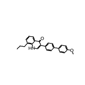 CCCc1cccc2c(=O)c(-c3ccc(-c4ccc(OC)cc4)cc3)c[nH]c12